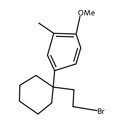 COc1ccc(C2(CCBr)CCCCC2)cc1C